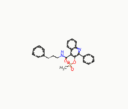 CS(=O)(=O)Oc1c(-c2ccccc2)nc2ccccc2c1C(=O)NCCCc1ccccc1